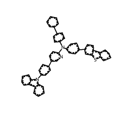 c1ccc(-c2ccc(N(c3ccc(-c4ccc5c(c4)sc4ccccc45)cc3)c3ccc(-c4ccc(-n5c6ccccc6c6ccccc65)cc4)cn3)cc2)cc1